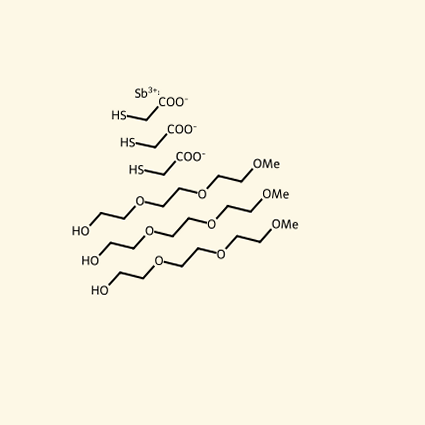 COCCOCCOCCO.COCCOCCOCCO.COCCOCCOCCO.O=C([O-])CS.O=C([O-])CS.O=C([O-])CS.[Sb+3]